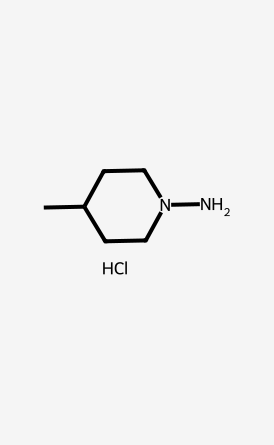 CC1CCN(N)CC1.Cl